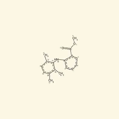 COC(=O)c1ccccc1Nc1c(C)ccc(C)c1C